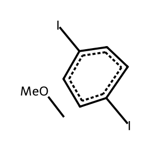 COC.Ic1ccc(I)cc1